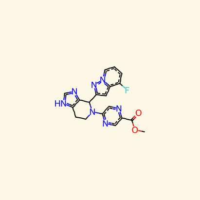 COC(=O)c1cnc(N2CCc3[nH]cnc3C2c2cc3c(F)cccn3n2)cn1